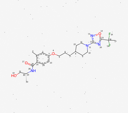 Cc1cc(OCCCC2CCN(c3noc(C(C)(F)F)n3)CC2)ccc1C(=O)N[C@H](C)CO